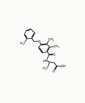 Cc1ccccc1COc1ccc(C(=O)NC(C)CC(=O)O)c(C)c1C